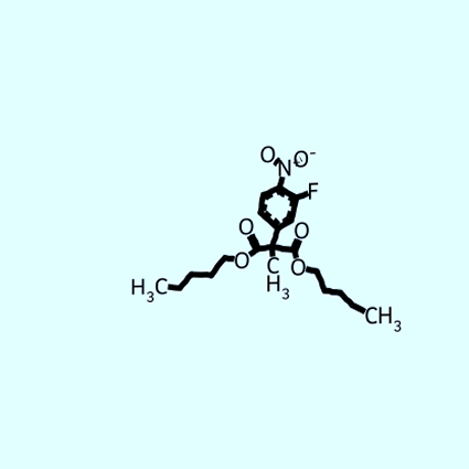 CCCCCOC(=O)C(C)(C(=O)OCCCCC)c1ccc([N+](=O)[O-])c(F)c1